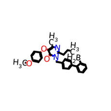 Bc1ccccc1-c1ccc(Cn2c(CCC)nc(C)c(Oc3ccc(OC)cc3)c2=O)cc1